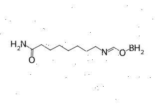 BOC=NCCCCCCCC(N)=O